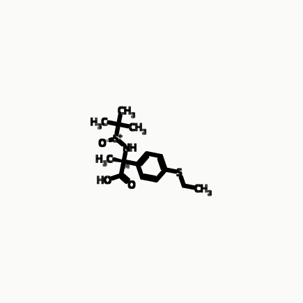 CCSc1ccc([C@@](C)(N[S+]([O-])C(C)(C)C)C(=O)O)cc1